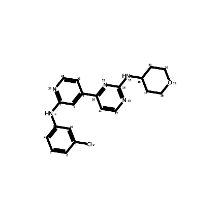 Clc1cccc(Nc2cc(-c3ccnc(NC4CCOCC4)n3)ccn2)c1